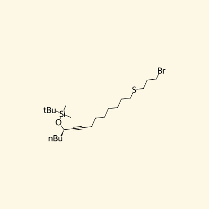 CCCC[C@H](C#CCCCCCCCSCCCBr)O[Si](C)(C)C(C)(C)C